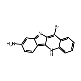 Nc1ccc2c3[nH]c4ccccc4c(Br)c-3nc2c1